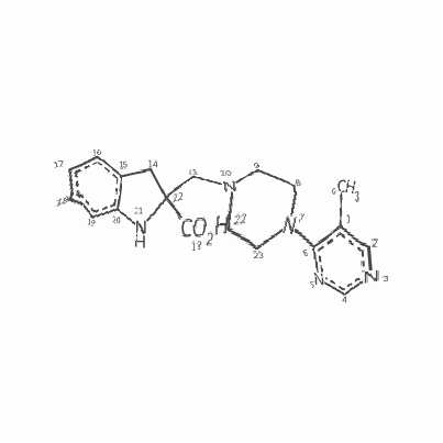 Cc1cncnc1N1CCN(CC2(C(=O)O)Cc3ccccc3N2)CC1